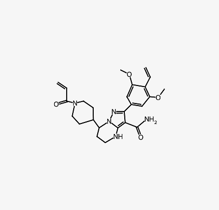 C=CC(=O)N1CCC(C2CCNc3c(C(N)=O)c(-c4cc(OC)c(C=C)c(OC)c4)nn32)CC1